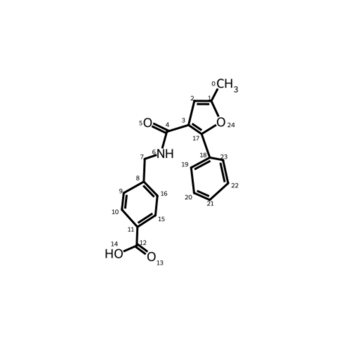 Cc1cc(C(=O)NCc2ccc(C(=O)O)cc2)c(-c2ccccc2)o1